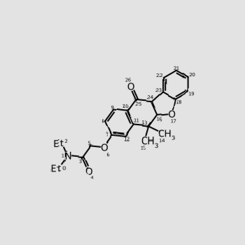 CCN(CC)C(=O)COc1ccc2c(c1)C(C)(C)C1Oc3ccccc3C1C2=O